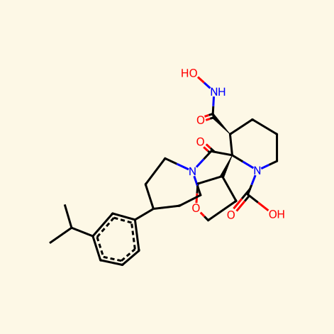 CC(C)c1cccc(C2CCN(C(=O)[C@]3(C4CCOC4)[C@@H](C(=O)NO)CCCN3C(=O)O)CC2)c1